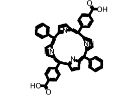 O=C(O)c1ccc(-c2c3nc(c(-c4ccccc4)c4ccc([nH]4)c(-c4ccc(C(=O)O)cc4)c4nc(c(-c5ccccc5)c5ccc2[nH]5)C=C4)C=C3)cc1